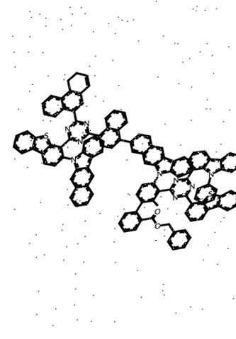 Cc1c(-c2ccccc2C(=O)OCc2ccccc2)ccc(-n2c3ccccc3c3cc4ccc(-c5ccc(-c6nc(-c7cc8c(c9ccccc79)CCC=C8)nc(-c7c(-n8c9ccccc9c9cc%10ccccc%10cc98)ccc8c7sc7ccccc78)n6)c6ccccc56)cc4cc32)c1-c1nc(-c2cccc3c2sc2ccccc23)nc(-c2cccc3c4ccccc4n(-c4ccccc4)c23)n1